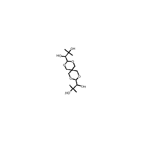 CC(C)(O)C(O)C1OCC2(CO1)COC(C(O)C(C)(C)O)OC2